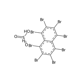 Brc1c(Br)c(Br)c2c(Br)c(Br)c(Br)c(Br)c2c1Br.O=[SH](=O)O